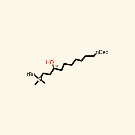 CCCCCCCCCCCCCCCCC[C@H](O)CC[Si](C)(C)C(C)(C)C